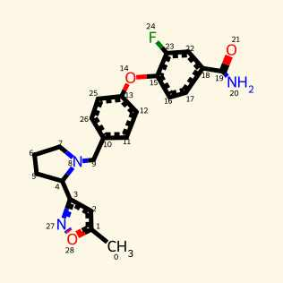 Cc1cc(C2CCCN2Cc2ccc(Oc3ccc(C(N)=O)cc3F)cc2)no1